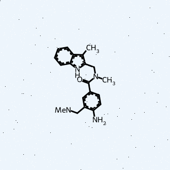 CNCc1cc(C(=O)N(C)Cc2[nH]c3ccccc3c2C)ccc1N